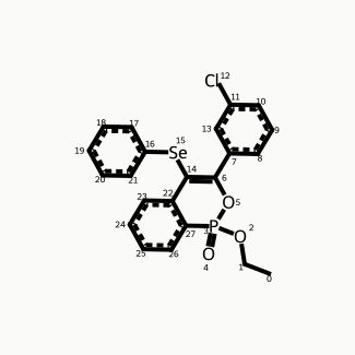 CCOP1(=O)OC(c2cccc(Cl)c2)=C([Se]c2ccccc2)c2ccccc21